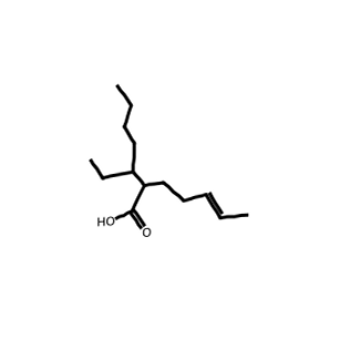 C/C=C/CCC(C(=O)O)C(CC)CCCC